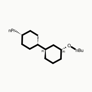 CCCCO[C@@H]1CCC[C@@H]([C@H]2CC[C@@H](CCC)CC2)C1